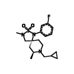 C[C@H]1C[C@]2(CCN1CC1CC1)CN(C)S(=O)(=O)N2c1cccc(F)c1